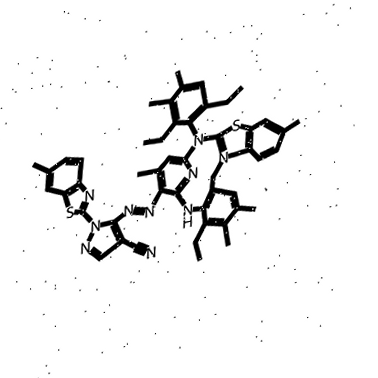 CCc1cc(C)c(C)c(CC)c1Nc1nc(N(c2nc3ccc(C)cc3s2)c2c(CC)cc(C)c(C)c2CC)cc(C)c1N=Nc1c(C#N)cnn1-c1nc2ccc(C)cc2s1